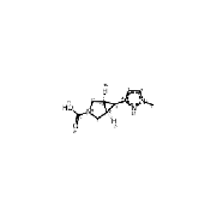 Cn1ccc(C2[C@H]3CN(C(=O)O)C[C@@H]23)n1